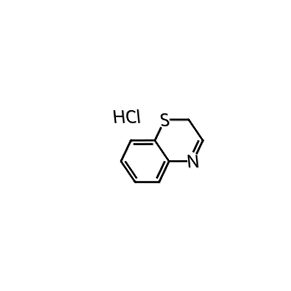 C1=Nc2ccccc2SC1.Cl